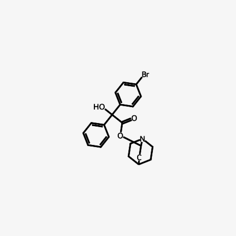 O=C(OC1CC2CCN1CC2)C(O)(c1ccccc1)c1ccc(Br)cc1